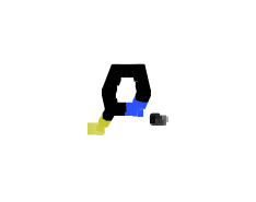 Sc1ccccn1.[Cu]